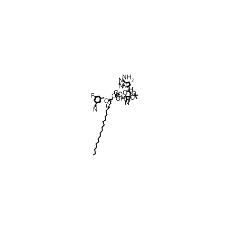 CCCCCCCCCCCCCCCCCCOC[C@](C)(COP(=O)(O)OC[C@@]1(C#N)O[C@@H](c2ccc3c(N)ncnn23)[C@@H]2OC(C)(C)O[C@@H]21)OCc1cc(F)cc(C#N)c1